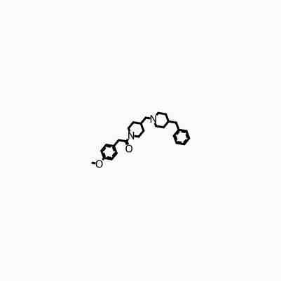 COc1ccc(CC(=O)N2CCC(CN3CCC(Cc4ccccc4)CC3)CC2)cc1